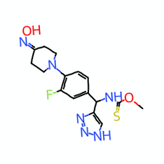 COC(=S)NC(c1ccc(N2CCC(=NO)CC2)c(F)c1)c1c[nH]nn1